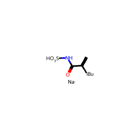 C=C(C(=O)NS(=O)(=O)O)C(C)CC.[Na]